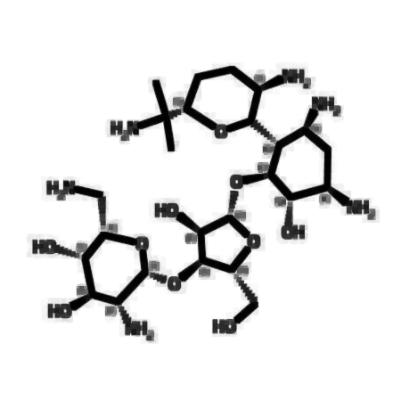 CC(C)(N)[C@@H]1CC[C@@H](N)C([C@H]2[C@H](O[C@@H]3O[C@H](CO)[C@@H](O[C@H]4O[C@@H](CN)[C@@H](O)[C@H](O)[C@H]4N)[C@H]3O)[C@@H](O)[C@H](N)C[C@@H]2N)O1